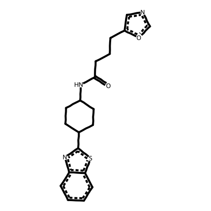 O=C(CCCc1cnco1)NC1CCC(c2nc3ccccc3s2)CC1